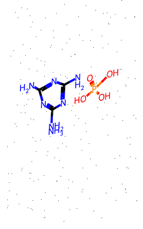 N.Nc1nc(N)nc(N)n1.O=P(O)(O)O